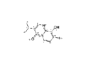 CC(C)c1cnc2c(O)c(I)ccn2c1=O